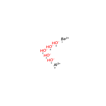 [Al+3].[Ba+2].[OH-].[OH-].[OH-].[OH-].[OH-]